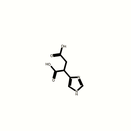 O=C(O)CC(C(=O)O)c1c[nH]cn1